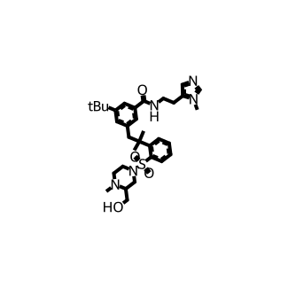 CN1CCN(S(=O)(=O)c2ccccc2C(C)(C)Cc2cc(C(=O)NCCc3cncn3C)cc(C(C)(C)C)c2)CC1CO